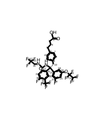 O=C(O)CCCc1ccc(C[C@](NC(=O)NCC(F)(F)F)(c2cc(F)cc(OC(F)(F)C(F)F)c2)c2ccc(F)c(C(F)(F)F)c2)cc1